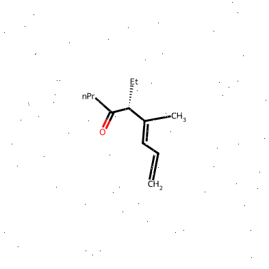 C=C/C=C(\C)[C@@H](CC)C(=O)CCC